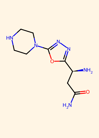 NC(=O)C[C@H](N)c1nnc(N2CCNCC2)o1